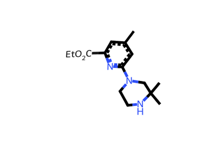 CCOC(=O)c1cc(C)cc(N2CCNC(C)(C)C2)n1